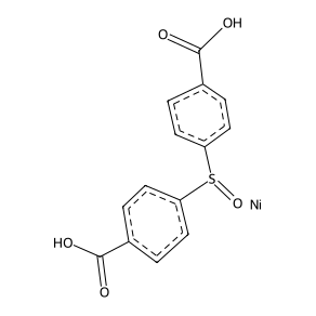 O=C(O)c1ccc(S(=O)c2ccc(C(=O)O)cc2)cc1.[Ni]